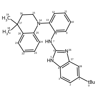 CC(C)(C)c1ccc2[nH]c(Nc3ccccc3N3CCC(C)(C)c4ccccc43)nc2c1